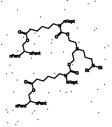 CCCCCCCN(CCCCCC(=O)OCC(CCCCC)CCCCC)C(=O)OCCN(CCCN(CC)CC)CCOC(=O)N(CCCCCCC)CCCCCC(=O)OCC(CCCCC)CCCCC